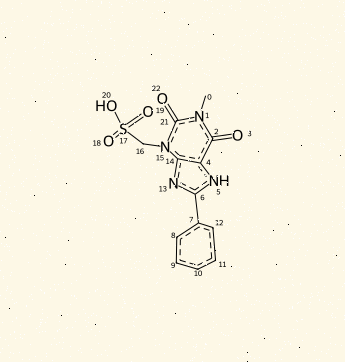 Cn1c(=O)c2[nH]c(-c3ccccc3)nc2n(CS(=O)(=O)O)c1=O